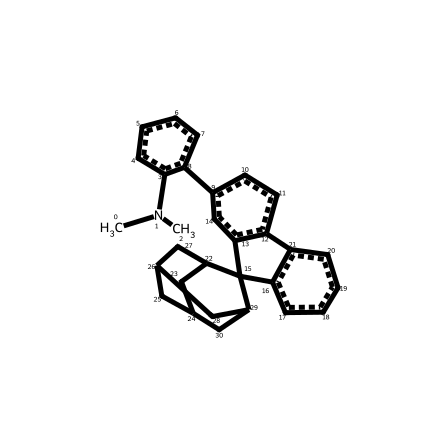 CN(C)c1ccccc1-c1ccc2c(c1)C1(c3ccccc3-2)C2CC3CC(C2)CC1C3